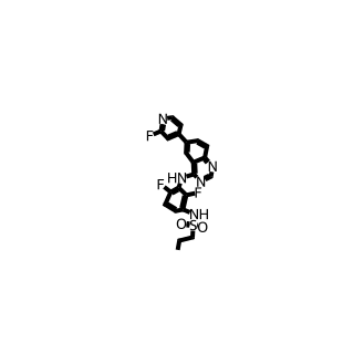 CCCS(=O)(=O)Nc1ccc(F)c(Nc2ncnc3ccc(-c4ccnc(F)c4)cc23)c1F